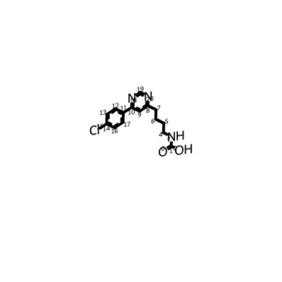 O=C(O)NCCCCc1cc(-c2ccc(Cl)cc2)ncn1